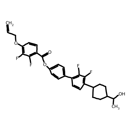 C=CCOc1ccc(C(=O)Oc2ccc(-c3ccc(C4CCC(C(C)O)CC4)c(F)c3F)cc2)c(F)c1F